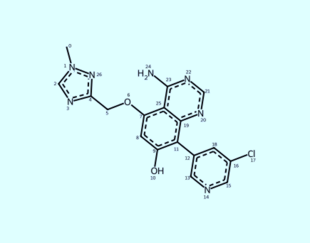 Cn1cnc(COc2cc(O)c(-c3cncc(Cl)c3)c3ncnc(N)c23)n1